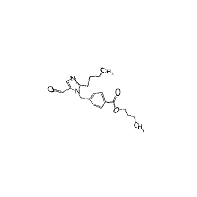 CCCCOC(=O)c1ccc(Cn2c(C=O)cnc2CCCC)cc1